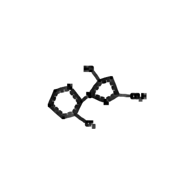 O=C(O)c1cc(O)n(-c2ncccc2C(F)(F)F)n1